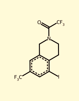 O=C(N1CCc2c(I)cc(C(F)(F)F)cc2C1)C(F)(F)F